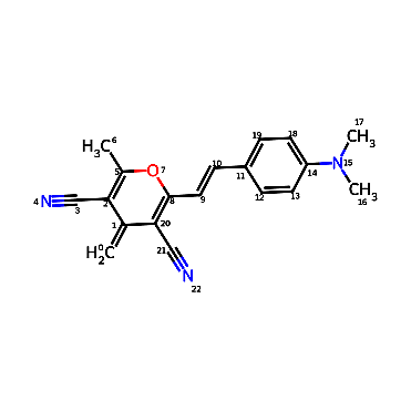 C=C1C(C#N)=C(C)OC(C=Cc2ccc(N(C)C)cc2)=C1C#N